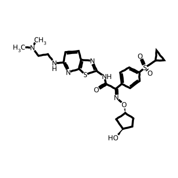 CN(C)CCNc1ccc2nc(NC(=O)/C(=N/O[C@@H]3CC[C@@H](O)C3)c3ccc(S(=O)(=O)C4CC4)cc3)sc2n1